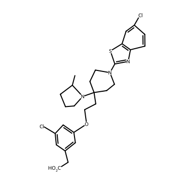 CC1CCCN1C1(CCOc2cc(Cl)cc(CC(=O)O)c2)CCN(c2nc3ccc(Cl)cc3s2)CC1